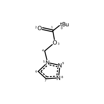 CC(C)(C)C(=O)OCn1ccnn1